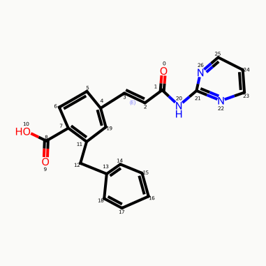 O=C(/C=C/c1ccc(C(=O)O)c(Cc2ccccc2)c1)Nc1ncccn1